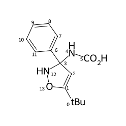 CC(C)(C)C1=CC(NC(=O)O)(c2ccccc2)NO1